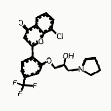 O=c1cc(-c2ccc(C(F)(F)F)cc2OCC(O)CN2CCCC2)oc2c(Cl)cccc12